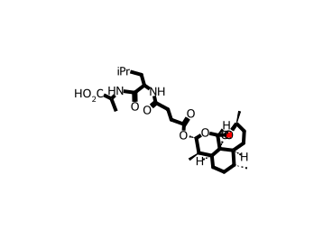 CC(C)CC(NC(=O)CCC(=O)O[C@@H]1O[C@@H]2O[C@@]3(C)CC[C@H]4[C@H](C)CC[C@@H]([C@H]1C)[C@@]24OO3)C(=O)NC(C)C(=O)O